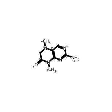 CN1CC(=O)N(C)c2nc(N)ncc21